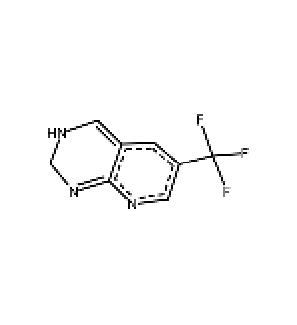 FC(F)(F)c1cnc2c(c1)=CNCN=2